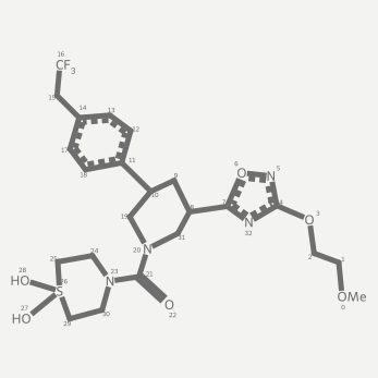 COCCOc1noc(C2CC(c3ccc(CC(F)(F)F)cc3)CN(C(=O)N3CCS(O)(O)CC3)C2)n1